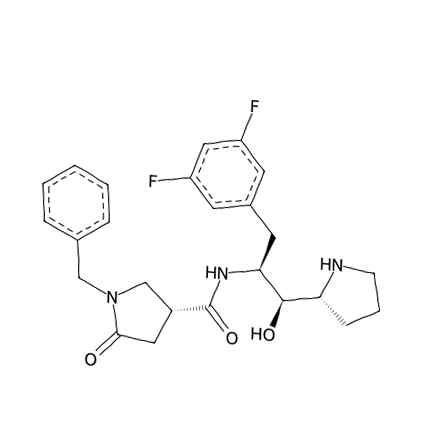 O=C(N[C@@H](Cc1cc(F)cc(F)c1)[C@H](O)[C@H]1CCCN1)[C@@H]1CC(=O)N(Cc2ccccc2)C1